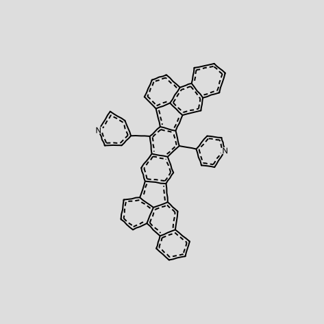 c1ccc2c(c1)cc1c3cc4c(-c5ccncc5)c5c6cc7ccccc7c7cccc(c5c(-c5ccncc5)c4cc3c3cccc2c31)c76